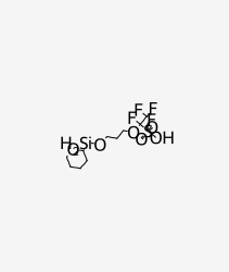 O=S(=O)(O)C(F)(OCCCO[SiH2]C1CCCCO1)C(F)(F)F